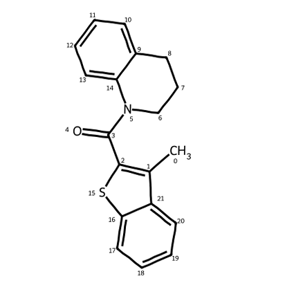 Cc1c(C(=O)N2CCCc3ccccc32)sc2ccccc12